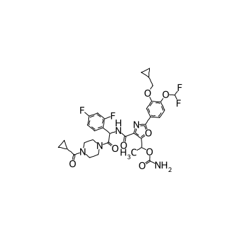 CC(OC(N)=O)c1oc(-c2ccc(OC(F)F)c(OCC3CC3)c2)nc1C(=O)NC(C(=O)N1CCN(C(=O)C2CC2)CC1)c1ccc(F)cc1F